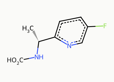 C[C@@H](NC(=O)O)c1ccc(F)cn1